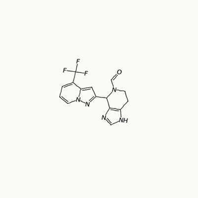 O=CN1CCc2[nH]cnc2C1c1cc2c(C(F)(F)F)cccn2n1